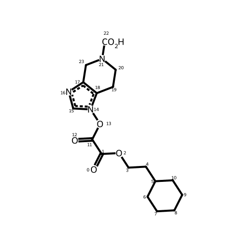 O=C(OCCC1CCCCC1)C(=O)On1cnc2c1CCN(C(=O)O)C2